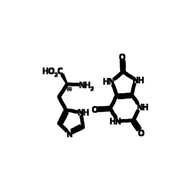 N[C@@H](Cc1cnc[nH]1)C(=O)O.O=c1[nH]c(=O)c2[nH]c(=O)[nH]c2[nH]1